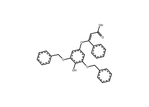 O=C(O)C=C(Oc1cc(OCc2ccccc2)c(O)c(OCc2ccccc2)c1)c1ccccc1